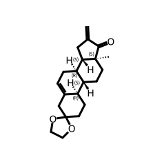 C=C1C[C@H]2[C@@H]3CC=C4CC5(CC[C@@H]4[C@H]3CC[C@]2(C)C1=O)OCCO5